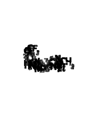 CCn1c(C)nc2ccc(-c3ccn4nc(N[C@H]5CC[C@@H](OC(F)(F)F)CC5)ncc34)nc21